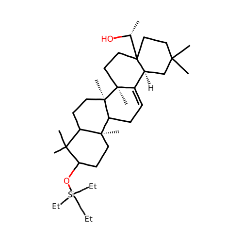 CC[Si](CC)(CC)OC1CC[C@@]2(C)C(CC[C@]3(C)C2CC=C2[C@@H]4CC(C)(C)CCC4([C@@H](C)O)CC[C@@]23C)C1(C)C